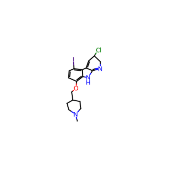 CN1CCC(COc2ccc(I)c3c4c([nH]c23)=NCC(Cl)C=4)CC1